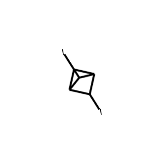 IC1C2CC1C2I